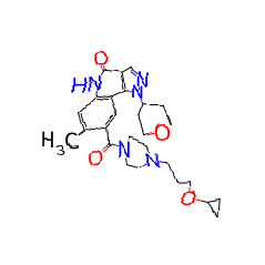 Cc1cc2[nH]c(=O)c3cnn(C4CCOCC4)c3c2cc1C(=O)N1CCN(CCCOC2CC2)CC1